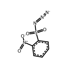 [N-]=[N+]=NS(=O)(=O)c1ccccc1[N+](=O)[O-]